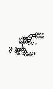 COc1ccc(CC2c3c(cc(OC)c(OC)c3OC)CC[N+]2(C)CCCOC(=O)CCC(=O)OCCC[N+]2(C)CCc3cc(OC)c(OC)cc3C2Cc2cc(OC)c(OC)c(OC)c2)cc1OC